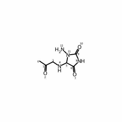 CC(=O)CNC1C(=O)NC(=O)N1N